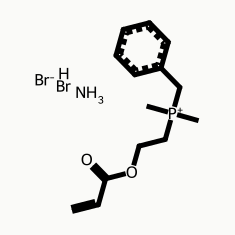 Br.C=CC(=O)OCC[P+](C)(C)Cc1ccccc1.N.[Br-]